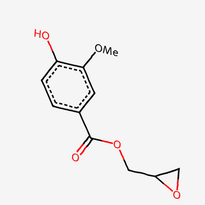 COc1cc(C(=O)OCC2CO2)ccc1O